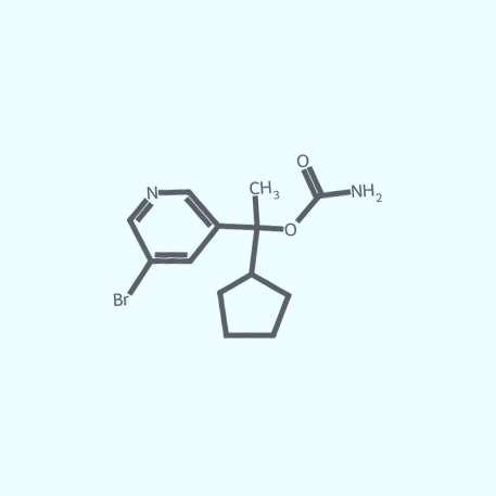 CC(OC(N)=O)(c1cncc(Br)c1)C1CCCC1